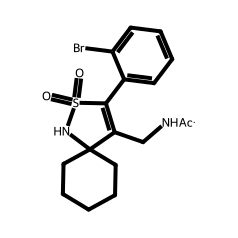 CC(=O)[N]CC1=C(c2ccccc2Br)S(=O)(=O)NC12CCCCC2